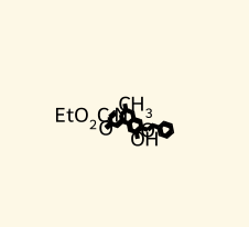 CCOC(=O)c1cn2c(cc1=O)-c1cc(O)c(OCc3ccccc3)cc1CC2C